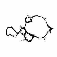 C[C@@H]1COCCOCCn2cc(cn2)-c2nn(C3CCCCO3)c3c(F)cc(cc23)O1